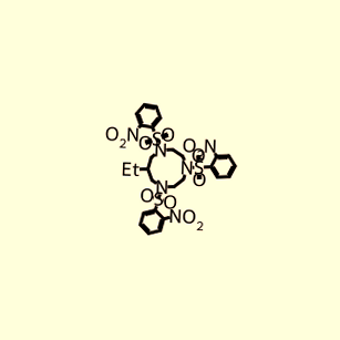 CCC1CN(S(=O)(=O)c2ccccc2[N+](=O)[O-])CCN(S(=O)(=O)c2ccccc2[N+](=O)[O-])CCN(S(=O)(=O)c2ccccc2[N+](=O)[O-])C1